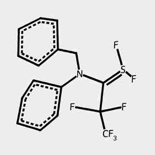 FS(F)=C(N(Cc1ccccc1)c1ccccc1)C(F)(F)C(F)(F)F